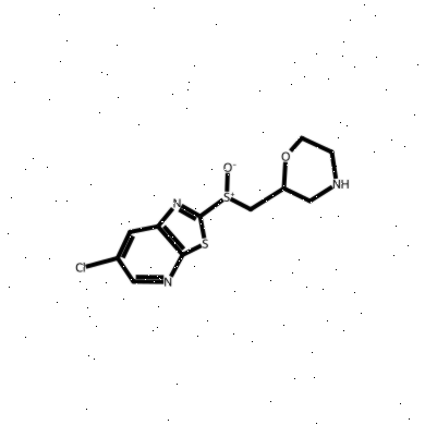 [O-][S+](CC1CNCCO1)c1nc2cc(Cl)cnc2s1